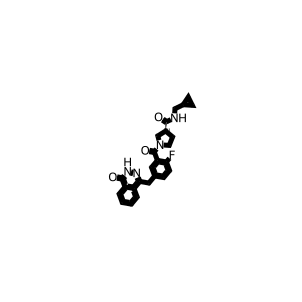 O=C(NCC1CC1)[C@@H]1CCN(C(=O)c2cc(Cc3n[nH]c(=O)c4ccccc34)ccc2F)C1